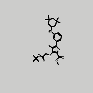 COC(=O)c1sc(-c2cccc(NC3CC(C)(C)CC(C)(C)C3)c2)c(C)c1OCC(=O)OC(C)(C)C